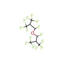 FC(OC(F)C(C(F)(F)F)C(F)(F)F)C(C(F)(F)F)C(F)(F)F